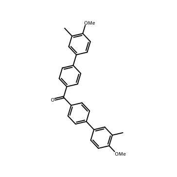 COc1ccc(-c2ccc(C(=O)c3ccc(-c4ccc(OC)c(C)c4)cc3)cc2)cc1C